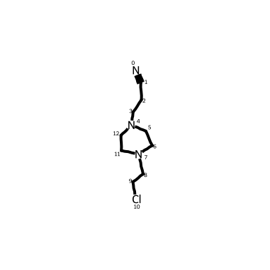 N#CCCN1CCN(CCCl)CC1